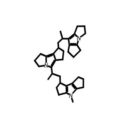 CC(CC1CCc2c1c1n(c2C(C)CC2CCc3c2c2c(n3C)CCC2)CCC1)c1c2c(n3c1CCC3)CCC2